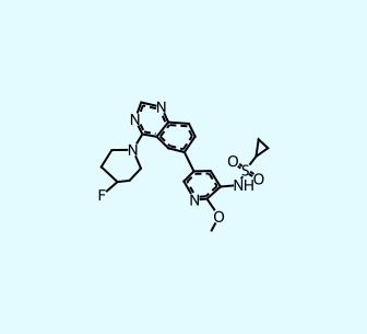 COc1ncc(-c2ccc3ncnc(N4CCC(F)CC4)c3c2)cc1NS(=O)(=O)C1CC1